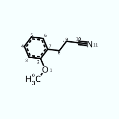 COc1ccccc1C[CH]C#N